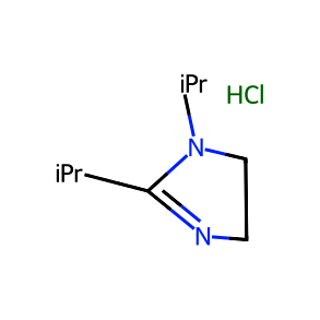 CC(C)C1=NCCN1C(C)C.Cl